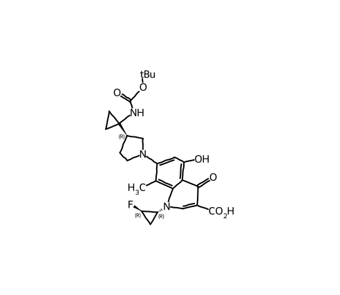 Cc1c(N2CC[C@@H](C3(NC(=O)OC(C)(C)C)CC3)C2)cc(O)c2c(=O)c(C(=O)O)cn([C@@H]3C[C@H]3F)c12